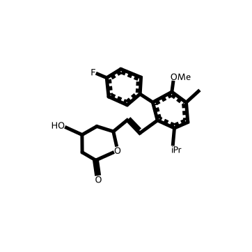 COc1c(C)cc(C(C)C)c(C=CC2CC(O)CC(=O)O2)c1-c1ccc(F)cc1